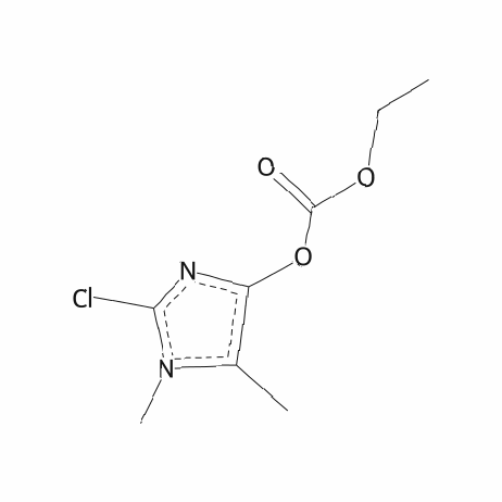 CCOC(=O)Oc1nc(Cl)n(C)c1C